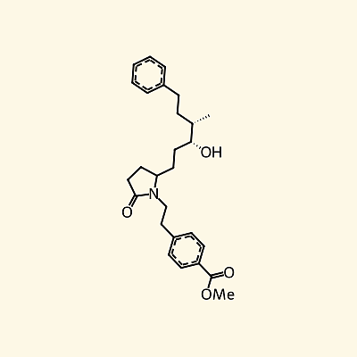 COC(=O)c1ccc(CCN2C(=O)CCC2CC[C@@H](O)[C@@H](C)CCc2ccccc2)cc1